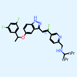 CCCC(CCC)NCc1ccc(/C(F)=C/c2n[nH]c3ccc(OC(C)c4cc(F)cc(F)c4)cc23)cn1